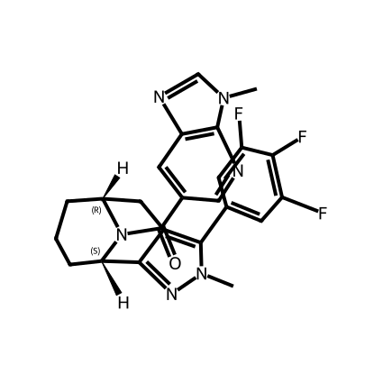 Cn1nc2c(c1-c1cc(F)c(F)c(F)c1)C[C@H]1CCC[C@@H]2N1C(=O)c1cnc2c(c1)ncn2C